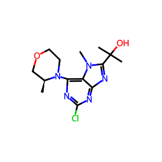 C[C@H]1COCCN1c1nc(Cl)nc2nc(C(C)(C)O)n(C)c12